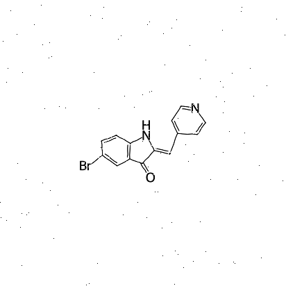 O=C1/C(=C/c2ccncc2)Nc2ccc(Br)cc21